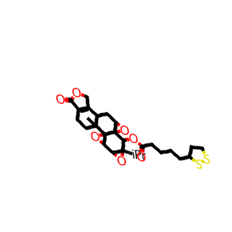 CC(C)C12OC1C1OC13C1(C)CCC4=C(COC4=O)C1CC1OC13C2OC(=O)CCCCC1CCSS1